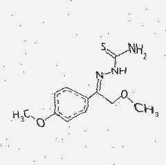 COCC(=NNC(N)=S)c1ccc(OC)cc1